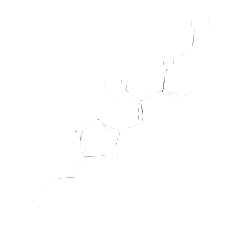 CCOC(=O)/C(N)=C/c1cnc(COC)s1